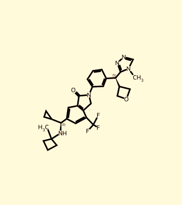 Cn1cnnc1[C@H](c1cccc(N2Cc3c(cc([C@@H](NC4(C)CCC4)C4CC4)cc3C(F)(F)F)C2=O)c1)C1COC1